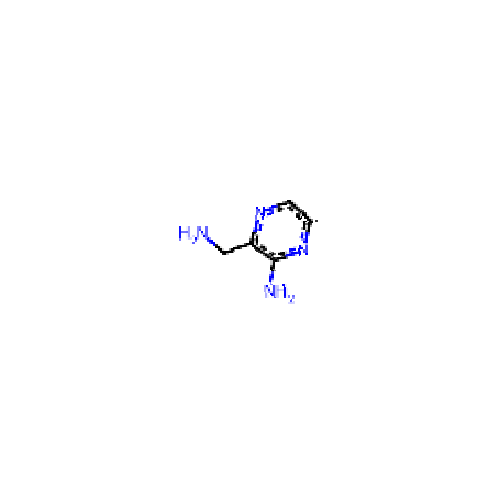 NCc1nc[c]nc1N